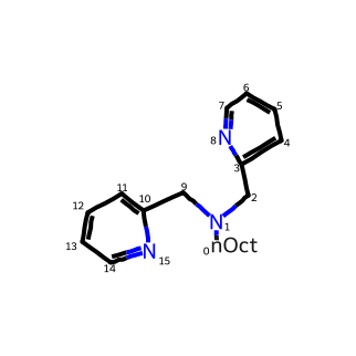 CCCCCCCCN(Cc1ccccn1)Cc1ccccn1